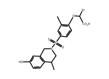 CCC(Oc1ccc(S(=O)(=O)N2Cc3cc(O)ccc3C(C)C2)cc1C)C(=O)O